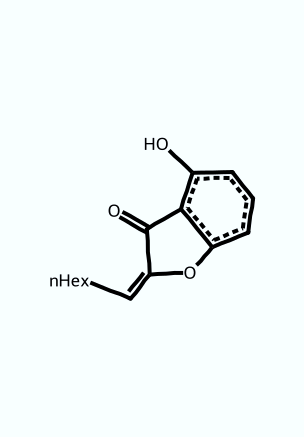 CCCCCCC=C1Oc2cccc(O)c2C1=O